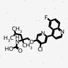 CC(C)CC(C)(COc1cnc(-c2ccnc3ccc(F)cc23)cc1Cl)NC(=O)O